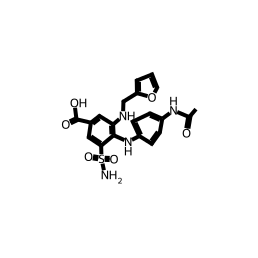 CC(=O)Nc1ccc(Nc2c(NCc3ccco3)cc(C(=O)O)cc2S(N)(=O)=O)cc1